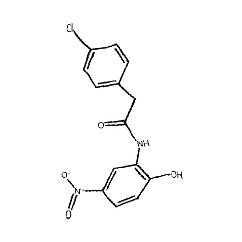 O=C(Cc1ccc(Cl)cc1)Nc1cc([N+](=O)[O-])ccc1O